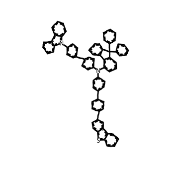 c1ccc(C2(c3ccccc3)c3ccccc3-c3c(N(c4ccc(-c5ccc(-c6ccc7sc8ccccc8c7c6)cc5)cc4)c4ccc(-c5ccc(-n6c7ccccc7c7ccccc76)cc5)cc4)cccc32)cc1